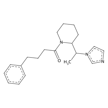 CC(C1CCCCN1C(=O)CCCc1ccccc1)n1ccnc1